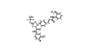 CC(C)(O)CN1CC(C(=O)Nc2ccc(F)c(Cl)c2)C(c2ccc(/C=C/C(=O)Nc3ccccc3N)cc2)C1